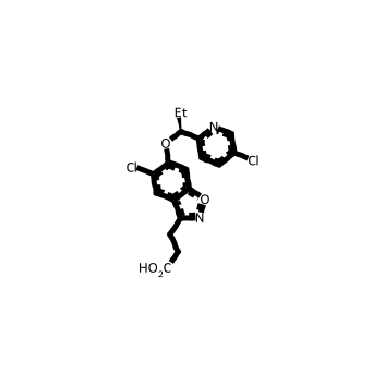 CC[C@H](Oc1cc2onc(CCC(=O)O)c2cc1Cl)c1ccc(Cl)cn1